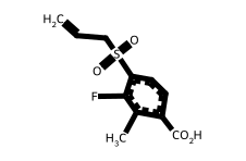 C=CCS(=O)(=O)c1ccc(C(=O)O)c(C)c1F